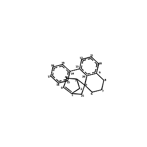 C1=C2CC(C1)C1(CCCc3cccc(-c4ccccc4)c31)C2